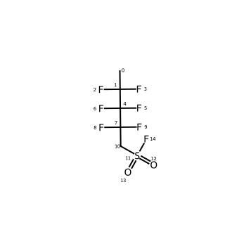 CC(F)(F)C(F)(F)C(F)(F)CS(=O)(=O)F